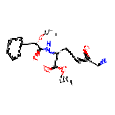 COC(=O)[C@H](CCC(=O)C=N)NC(=O)[C@@H](OC)c1ccccc1